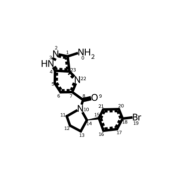 Nc1n[nH]c2ccc(C(=O)N3CCC[C@@H]3c3ccc(Br)cc3)nc12